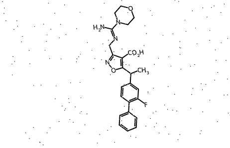 CC(c1ccc(-c2ccccc2)c(F)c1)c1onc(C/N=C(\N)N2CCOCC2)c1C(=O)O